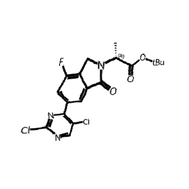 C[C@H](C(=O)OC(C)(C)C)N1Cc2c(F)cc(-c3nc(Cl)ncc3Cl)cc2C1=O